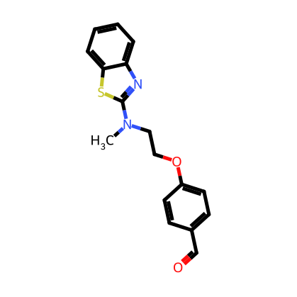 CN(CCOc1ccc(C=O)cc1)c1nc2ccccc2s1